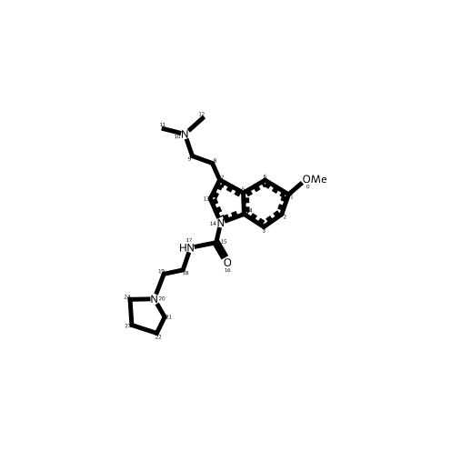 COc1ccc2c(c1)c(CCN(C)C)cn2C(=O)NCCN1CCCC1